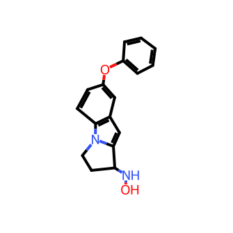 ONC1CCn2c1cc1cc(Oc3ccccc3)ccc12